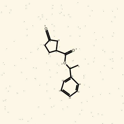 CC(OC(=O)C1CCC(=O)C1)c1ccccc1